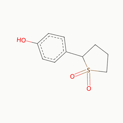 O=S1(=O)CCCC1c1ccc(O)cc1